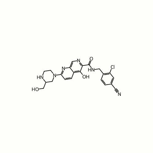 N#Cc1ccc(CNC(=O)c2ncc3nc(N4CCNC(CO)C4)ccc3c2O)c(Cl)c1